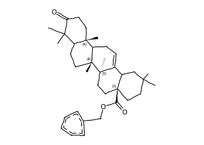 CC1(C)CC[C@]2(C(=O)OCc3ccccc3)CC[C@]3(C)C(=CCC4[C@@]5(C)CCC(=O)C(C)(C)C5CC[C@]43C)C2C1